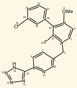 COc1ccc(Cc2ccc(-c3nnn[nH]3)nc2)c(F)c1-c1cccc(Cl)c1